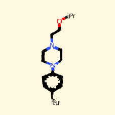 CCC(C)c1ccc(N2CCN(CCOC(C)C)CC2)cc1